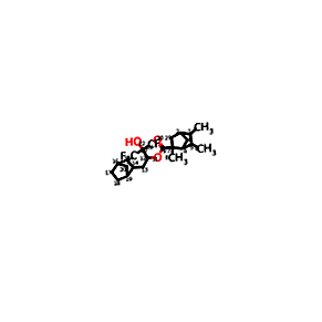 CC1C2CC(C1C)C(C)(C(=O)OC(CC1CC3CCC1C3)C(O)(C(F)(F)F)C(F)(F)F)C2